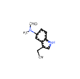 CN(C=O)c1ccc2[nH]cc(CC#N)c2c1